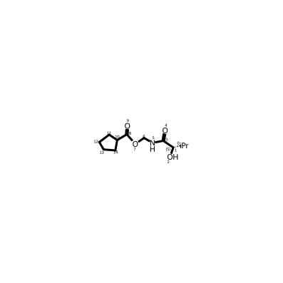 CC(C)[C@H](O)C(=O)NCOC(=O)C1CCCC1